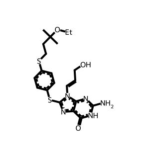 CCOC(C)(C)CCSc1ccc(Sc2nc3c(=O)[nH]c(N)nc3n2C=CCO)cc1